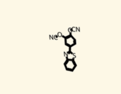 N#COc1ccc(-c2nc3ccccc3s2)cc1OC#N